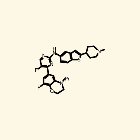 CC(C)N1CCOc2c(F)cc(-c3nc(Nc4ccc5sc(C6CCN(C)CC6)cc5c4)ncc3F)cc21